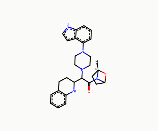 O=C(C(C1CCc2ccccc2N1)N1CCN(c2cccc3[nH]ccc23)CC1)N1C2CC[C@@H]1O2